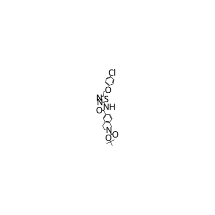 CC(C)(C)OC(=O)N1CCc2cc(C(=O)Nc3nnc(COc4ccc(Cl)cc4)s3)ccc2C1